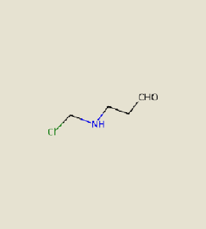 O=CCCNCCl